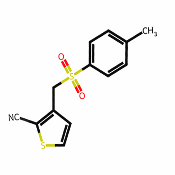 Cc1ccc(S(=O)(=O)Cc2ccsc2C#N)cc1